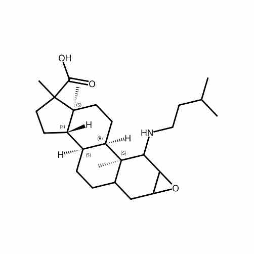 CC(C)CCNC1C2OC2CC2CC[C@@H]3[C@@H](CC[C@@]4(C)[C@H]3CCC4(C)C(=O)O)[C@]21C